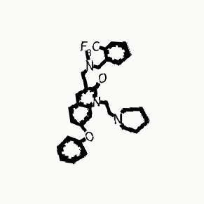 CN(Cc1ccccc1C(F)(F)F)Cc1cc2ccc(Oc3ccccc3)cc2n(CCN2CCCCC2)c1=O